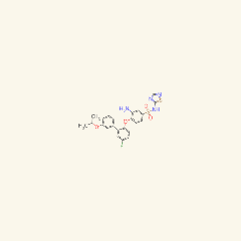 CC(C)Oc1cccc(-c2cc(F)ccc2Oc2ccc(S(=O)(=O)Nc3ncns3)cc2N)c1